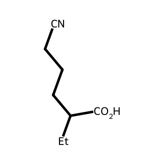 CCC(CCCC#N)C(=O)O